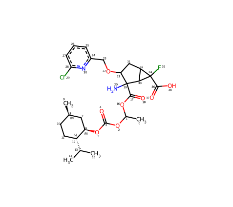 CC(OC(=O)O[C@@H]1C[C@H](C)CC[C@H]1C(C)C)OC(=O)C1(N)C(OCc2cccc(Cl)n2)CC2C1C2(F)C(=O)O